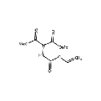 C=COC(=O)NN(C(=O)OC)C(=O)OC